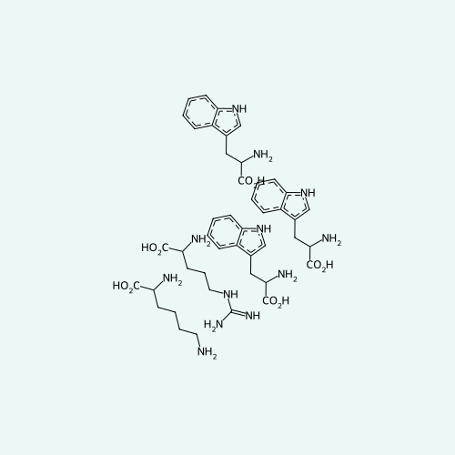 N=C(N)NCCCC(N)C(=O)O.NC(Cc1c[nH]c2ccccc12)C(=O)O.NC(Cc1c[nH]c2ccccc12)C(=O)O.NC(Cc1c[nH]c2ccccc12)C(=O)O.NCCCCC(N)C(=O)O